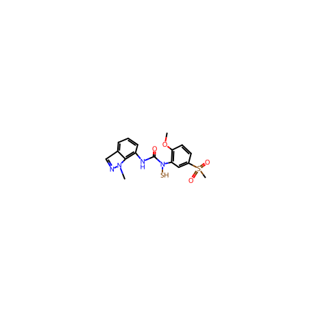 COc1ccc(S(C)(=O)=O)cc1N(S)C(=O)Nc1cccc2cnn(C)c12